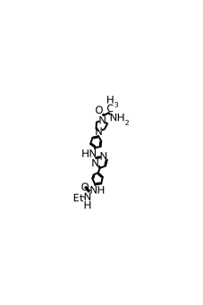 CCNC(=O)Nc1ccc(-c2ccnc(Nc3ccc(N4CCN(C(=O)[C@@H](C)N)CC4)cc3)n2)cc1